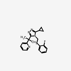 CC(C)(c1ccccn1)c1nnc(C2CC2)n1CCc1ccccc1F